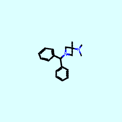 CN(C)C1(C)CN(C(c2ccccc2)c2ccccc2)C1